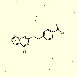 O=C(O)c1ccc(CSc2nc(Cl)c3cccn3n2)cc1